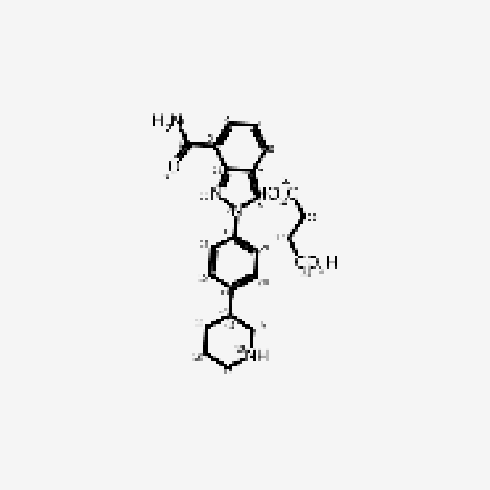 NC(=O)c1cccc2cn(-c3ccc([C@@H]4CCCNC4)cc3)nc12.O=C(O)CCC(=O)O